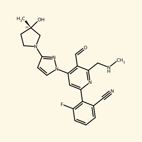 CNCc1nc(-c2c(F)cccc2C#N)cc(-n2ccc(N3CC[C@](C)(O)C3)n2)c1C=O